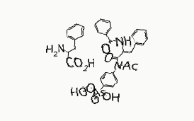 CC(=O)N(C(=O)C(Cc1ccccc1)NC(=O)c1ccccc1)c1ccc([As](=O)(O)OO)cc1.NC(Cc1ccccc1)C(=O)O